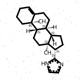 C[C@]12CC[C@H]3[C@@H](CCC4=CCCC[C@@]43C)[C@@H]1CC[C@@H]2c1ncc[nH]1